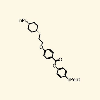 CCCCCc1ccc(OC(=O)c2ccc(OCCC[C@H]3CC[C@H](CCC)CC3)cc2)cc1